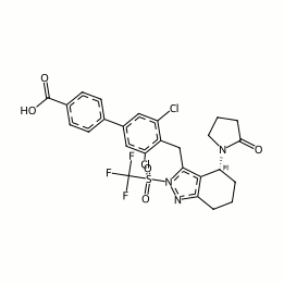 O=C(O)c1ccc(-c2cc(Cl)c(Cc3c4c(nn3S(=O)(=O)C(F)(F)F)CCC[C@H]4N3CCCC3=O)c(Cl)c2)cc1